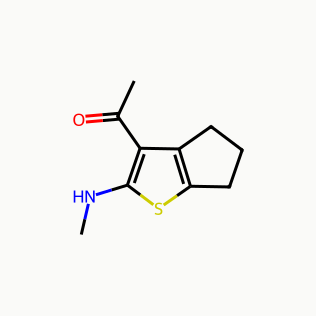 CNc1sc2c(c1C(C)=O)CCC2